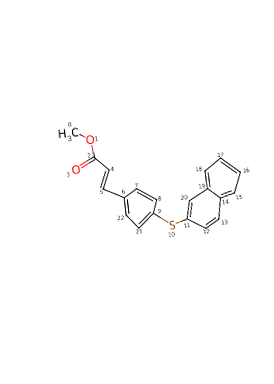 COC(=O)C=Cc1ccc(Sc2ccc3ccccc3c2)cc1